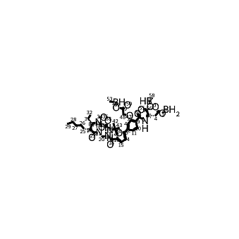 BOC(=O)C[C@H](NC(=O)c1ccc(-c2ccc(C(=O)NCNC(=O)[C@H](CCCCC)[C@@H](CC)N(C=O)OC(=O)NC(C)(C)C)o2)cc1OCC(=O)OBC)C(=O)OBC